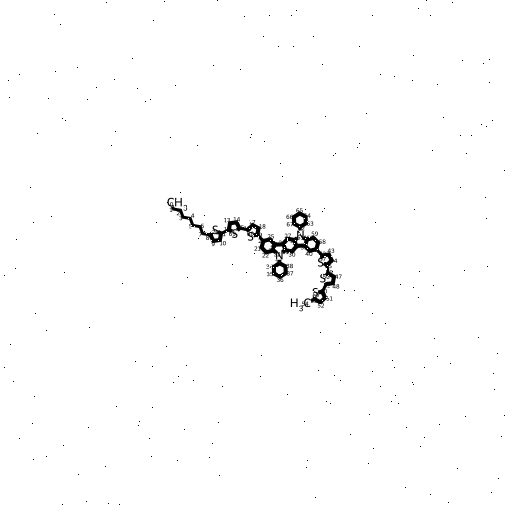 CCCCCCCCc1ccc(-c2ccc(-c3ccc(-c4ccc5c(c4)c4cc6c(cc4n5-c4ccccc4)c4cc(-c5ccc(-c7ccc(-c8ccc(C)s8)s7)s5)ccc4n6-c4ccccc4)s3)s2)s1